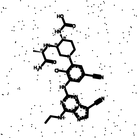 CCNc1nc(Nc2cc(C#N)cc(N3CC[C@@H](NC(=O)O)[C@H](N[C@@H](C)C(N)=O)C3)c2Cl)nn2c(C#N)cnc12